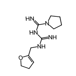 N=C(NCC1=CCCO1)NC(=N)N1CCCC1